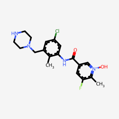 Cc1c(CN2CCNCC2)cc(Cl)cc1NC(=O)c1cc(F)c(C)[n+](O)c1